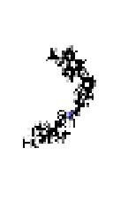 O=C(/C=C/CC1CN(S(=O)(=O)c2ccc(Cl)c(COC3(c4cnccc4-c4ccccc4OC4CC4)CC3)c2)C1)NC[C@H](O)[C@@H](O)[C@H](O)[C@H](O)CO